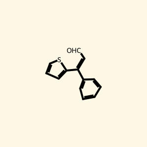 O=CC=C(c1ccccc1)c1cccs1